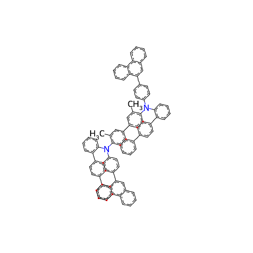 Cc1cc(-c2ccc(N(c3ccc(-c4cc5ccccc5c5ccccc45)cc3)c3ccccc3-c3ccc(-c4ccccc4)cc3)c(C)c2)ccc1N(c1ccc(-c2cc3ccccc3c3ccccc23)cc1)c1ccccc1-c1ccc(-c2ccccc2)cc1